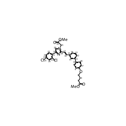 COC(=O)CCCOc1ccc(-c2cccc(C=Cc3nc(-c4ccc(Cl)cc4Cl)cn3CC(=O)OC)c2)cc1